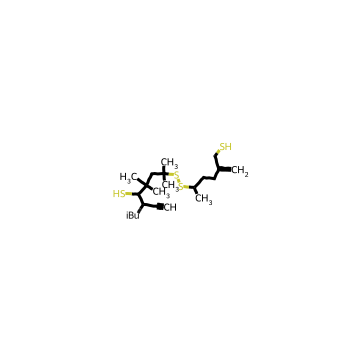 C#CC(C(C)CC)C(S)C(C)(C)CC(C)(C)SSC(C)CCC(=C)CS